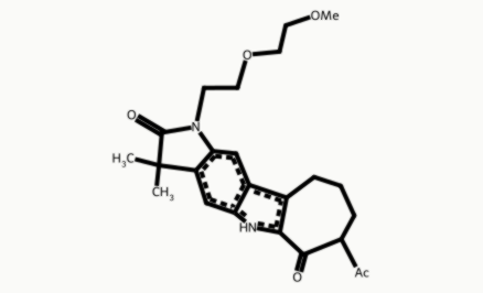 COCCOCCN1C(=O)C(C)(C)c2cc3[nH]c4c(c3cc21)CCCC(C(C)=O)C4=O